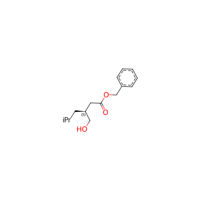 CC(C)C[C@H](CO)CC(=O)OCc1ccccc1